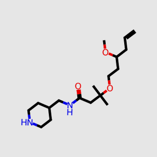 C=CCC(CCOC(C)(C)CC(=O)NCC1CCNCC1)OC